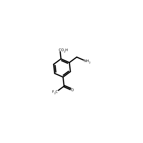 NCc1cc(C(=O)C(F)(F)F)ccc1C(=O)O